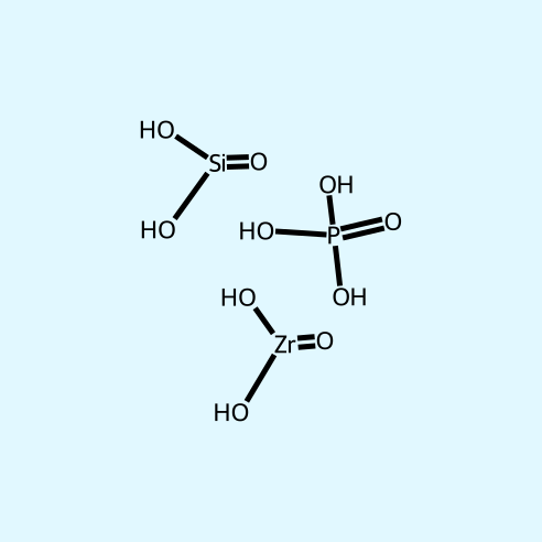 O=P(O)(O)O.O=[Si](O)O.[O]=[Zr]([OH])[OH]